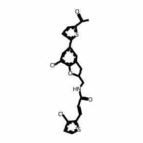 CC(=O)c1ccc(-c2cc(Cl)c3c(c2)CC(CNC(=O)C=Cc2sccc2Cl)O3)s1